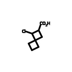 O=C(O)C1CC2(CCC2)C1Cl